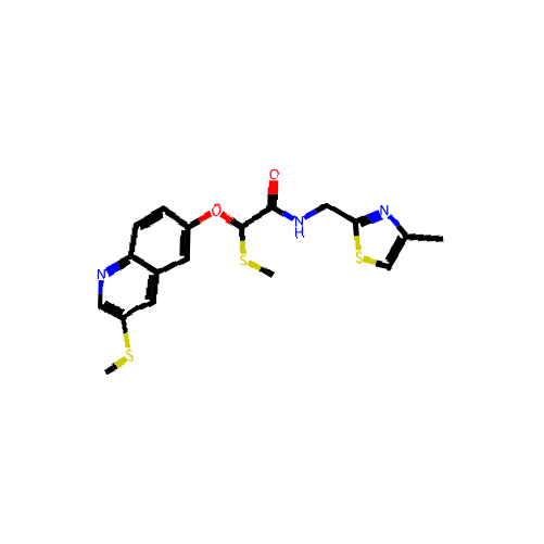 CSc1cnc2ccc(OC(SC)C(=O)NCc3nc(C)cs3)cc2c1